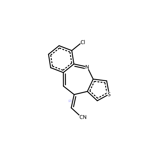 N#C/C=C1/C=c2cccc(Cl)c2=Nc2cscc21